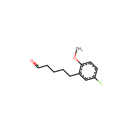 COc1ccc(F)cc1CCCCC=O